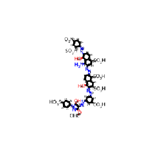 Nc1c(N=Nc2ccc3c(O)c(N=Nc4cc(/N=N/c5c(OC=O)nn(-c6ccc(S(=O)(=O)O)cc6)c5O)cc(C(=O)O)c4)c(S(=O)(=O)O)cc3c2S(=O)(=O)O)cc(S(=O)(=O)O)c2ccc(N=Nc3ccc([N+](=O)[O-])cc3S(=O)(=O)O)c(O)c12